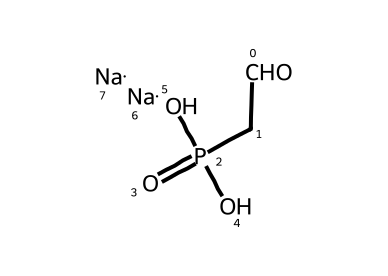 O=CCP(=O)(O)O.[Na].[Na]